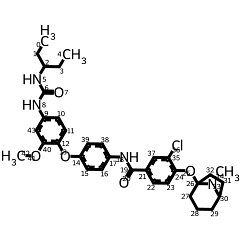 CCC(CC)NC(=O)Nc1ccc(Oc2ccc(NC(=O)c3ccc(OC45CCCC(CC4)N5C)c(Cl)c3)cc2)c(OC)c1